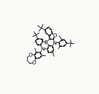 Cc1cc2c3c(c1)N(c1c(C)cc(C(C)(C)C)cc1C)c1oc4ccc(C(C)(C)C)cc4c1B3c1cc(C(C)(C)C)ccc1N2c1c(C)cc2c(c1C)OCCCO2